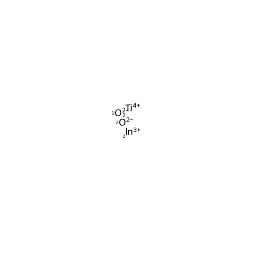 [In+3].[O-2].[O-2].[Ti+4]